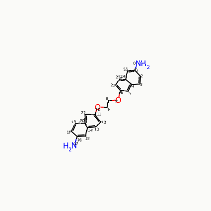 Nc1ccc2cc(OCCOc3ccc4cc(N)ccc4c3)ccc2c1